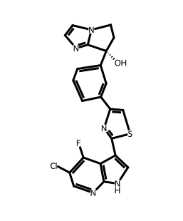 O[C@@]1(c2cccc(-c3csc(-c4c[nH]c5ncc(Cl)c(F)c45)n3)c2)CCn2ccnc21